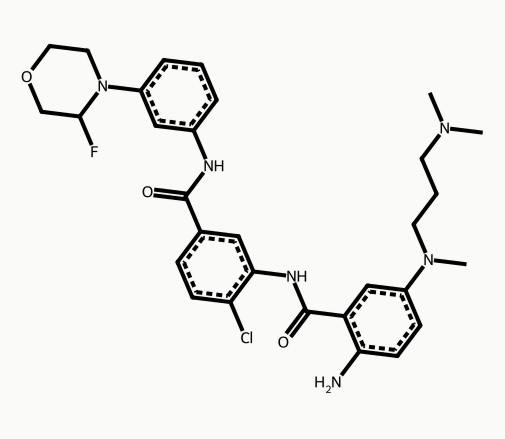 CN(C)CCCN(C)c1ccc(N)c(C(=O)Nc2cc(C(=O)Nc3cccc(N4CCOCC4F)c3)ccc2Cl)c1